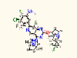 Nc1cc(-c2ncc3c(N4C[C@H]5CC[C@@H](C4)N5)nc(OC[C@@]45CCCN4C[C@@]4(CC4(F)F)C5)nc3c2F)c(C(F)(F)F)c(Cl)c1F